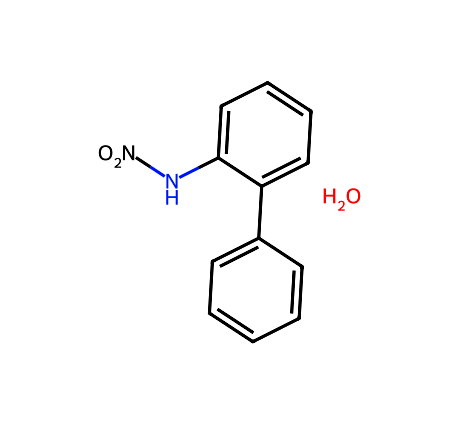 O.O=[N+]([O-])Nc1ccccc1-c1ccccc1